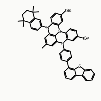 Cc1cc2c3c(c1)N(c1ccc(-c4cccc5c4sc4ccccc45)cc1)c1cc(C(C)(C)C)ccc1B3c1cc(C(C)(C)C)ccc1N2c1ccc2c(c1)C(C)(C)CCC2(C)C